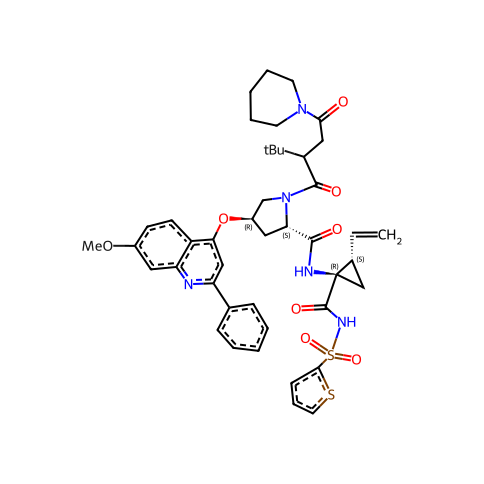 C=C[C@@H]1C[C@]1(NC(=O)[C@@H]1C[C@@H](Oc2cc(-c3ccccc3)nc3cc(OC)ccc23)CN1C(=O)C(CC(=O)N1CCCCC1)C(C)(C)C)C(=O)NS(=O)(=O)c1cccs1